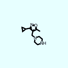 Cc1onc(C2CC2)c1CN1CCNCC1